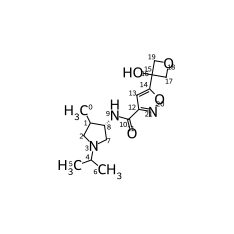 CC1CN(C(C)C)C[C@H]1NC(=O)c1cc(C2(O)COC2)on1